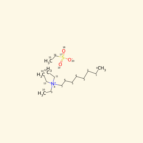 CCCCCCCC[N+](CC)(CC)CC.CCS(=O)(=O)[O-]